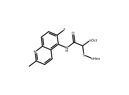 CCCCCCCCC(SCCCCCC)C(=O)Nc1c(F)ccc2nc(C)ccc12